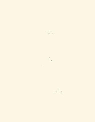 COCCOc1nc(CCOC)cs1